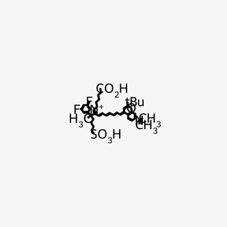 CN(C)c1ccc2c(c1)OC(C(C)(C)C)=C\C2=C/C=C/C=C/C=C/C1=[N+](CCCCCC(=O)O)c2c(F)cc(F)cc2C1(C)CCCCS(=O)(=O)O